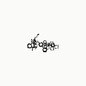 CCCCc1nn(-c2ccccc2C(F)(F)F)c(=O)n1Cc1ccc(-c2ccccc2)c(S(=O)(=O)NC(=O)c2occ(Cl)c2Cl)c1